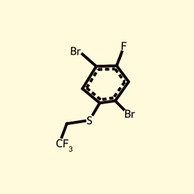 Fc1cc(Br)c(SCC(F)(F)F)cc1Br